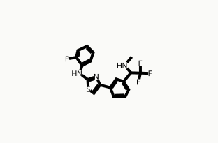 CNC(c1cccc(-c2csc(Nc3ccccc3F)n2)c1)C(F)(F)F